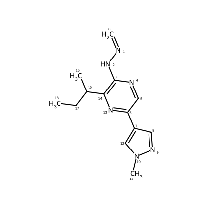 C=NNc1ncc(-c2cnn(C)c2)nc1C(C)CC